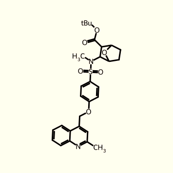 Cc1cc(COc2ccc(S(=O)(=O)N(C)C3C4CCC(O4)C3C(=O)OC(C)(C)C)cc2)c2ccccc2n1